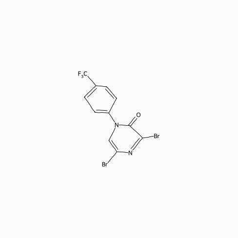 O=c1c(Br)nc(Br)cn1-c1ccc(C(F)(F)F)cc1